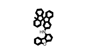 CC12C=CC=CC1C1(c3ccccc3-c3ccc(Nc4cccc5oc6ccccc6c45)cc31)c1ccccc12